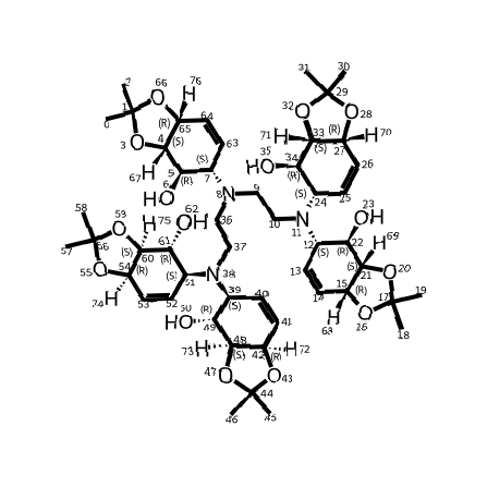 CC1(C)O[C@H]2[C@H](O)[C@@H](N(CCN([C@H]3C=C[C@H]4OC(C)(C)O[C@H]4[C@@H]3O)[C@H]3C=C[C@H]4OC(C)(C)O[C@H]4[C@@H]3O)CCN([C@H]3C=C[C@H]4OC(C)(C)O[C@H]4[C@@H]3O)[C@H]3C=C[C@H]4OC(C)(C)O[C@H]4[C@@H]3O)C=C[C@H]2O1